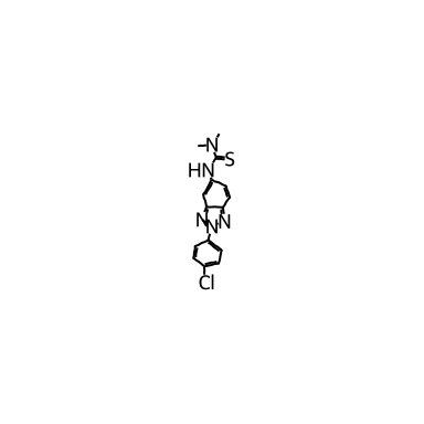 CN(C)C(=S)Nc1ccc2nn(-c3ccc(Cl)cc3)nc2c1